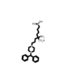 NC(CCCCB(O)O)(CCCN1CCN(C(c2ccccc2)c2ccccc2)CC1)C(=O)O